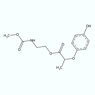 COC(=O)NCCOC(=O)C(C)Oc1ccc(O)cc1